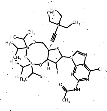 CC[Si](C#C[C@@]12CO[Si](C(C)C)(C(C)C)O[Si](C(C)C)(C(C)C)O[C@H]1C(I)C(n1cnc3c(Cl)nc(NC(C)=O)nc31)S2)(CC)CC